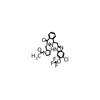 CC(=O)N1CCCC1Cn1nc(Cc2nc3cc(Cl)c(OC(F)(F)F)cc3[nH]2)c2ccccc2c1=O